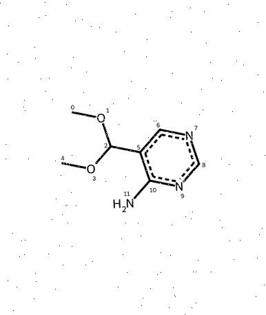 COC(OC)c1cncnc1N